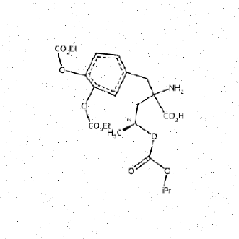 CCOC(=O)Oc1ccc(CC(N)(C[C@H](C)OC(=O)OC(C)C)C(=O)O)cc1OC(=O)OCC